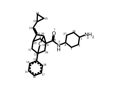 NC1CCC(NC(=O)C23CC4CC(c5ccccc5)(CC2/C4=C\C2CC2)C3)CC1